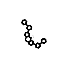 O=C1c2cc(-c3cccc(-c4ccccc4)c3)ccc2CCc2ccc(-c3cccc(-c4ccccc4)c3)cc21